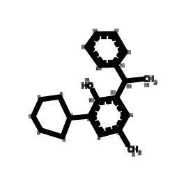 Cc1cc(C2CCCCC2)c(O)c(C(C)c2ccccc2)c1